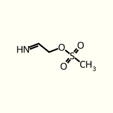 CS(=O)(=O)OCC=N